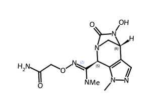 CN/C(=N\OCC(N)=O)[C@@H]1c2c(cnn2C)[C@@H]2CN1C(=O)N2O